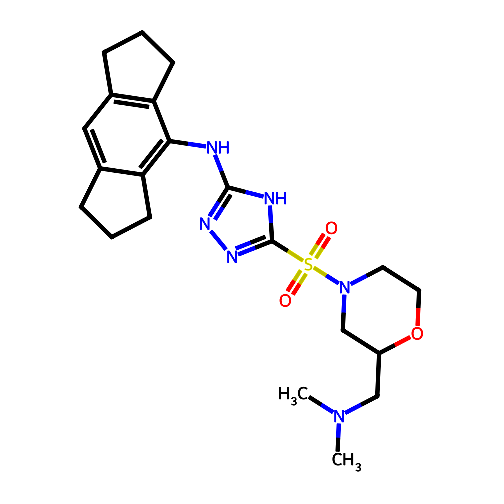 CN(C)CC1CN(S(=O)(=O)c2nnc(Nc3c4c(cc5c3CCC5)CCC4)[nH]2)CCO1